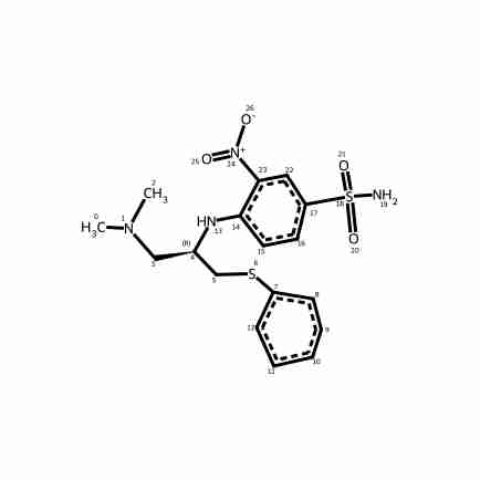 CN(C)C[C@H](CSc1ccccc1)Nc1ccc(S(N)(=O)=O)cc1[N+](=O)[O-]